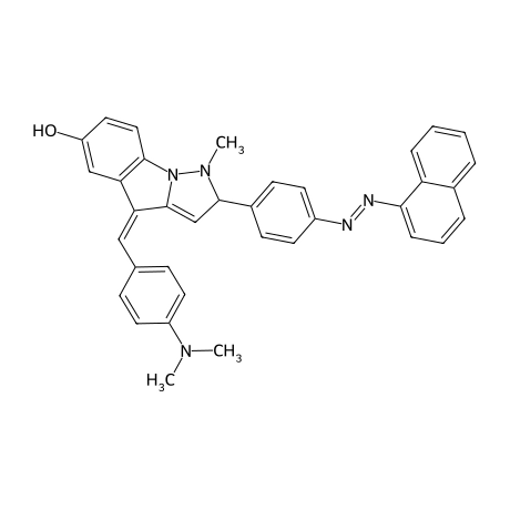 CN(C)c1ccc(/C=c2\c3n(c4ccc(O)cc24)N(C)C(c2ccc(/N=N/c4cccc5ccccc45)cc2)C=3)cc1